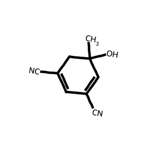 CC1(O)C=C(C#N)C=C(C#N)C1